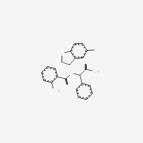 NC(=O)C(c1ccccc1)N(C(=O)c1ccccc1O)[C@@H]1COc2ccc(F)cc21